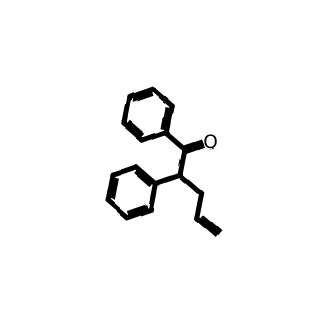 C=CCC(C(=O)c1ccccc1)c1ccccc1